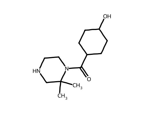 CC1(C)CNCCN1C(=O)C1CCC(O)CC1